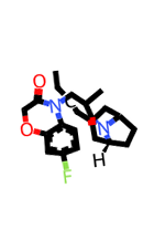 CCCCC1CC2CC[C@H](C1)N2CC(C)CN1C(=O)COc2cc(F)ccc21